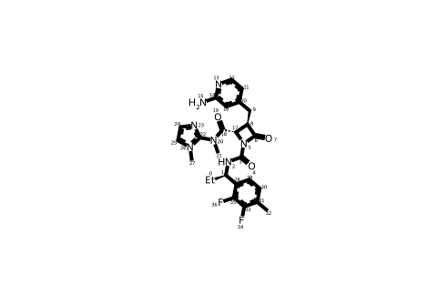 CC[C@@H](NC(=O)N1C(=O)[C@H](Cc2ccnc(N)c2)[C@H]1C(=O)N(C)c1nccn1C)c1ccc(C)c(F)c1F